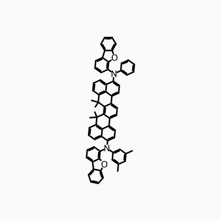 Cc1cc(C)cc(N(c2ccc3c4c(cccc24)C(C)(C)c2c-3ccc3c2C(C)(C)c2cccc4c(N(c5ccccc5)c5cccc6c5oc5ccccc56)ccc-3c24)c2cccc3c2oc2ccccc23)c1